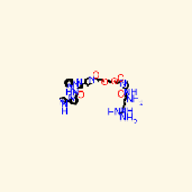 N=C(N)NCCC[C@H](N)C(=O)N[C@@H]1CCN(C(=O)COCCOCCC(=O)N2CCC(c3cc(NC(=O)c4cccc(-c5ccn[nH]5)n4)n(-c4ccccn4)n3)CC2)C1